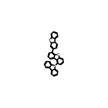 C1=CC2c3ccccc3SC2C=C1c1cccc2c1oc1cccc(-n3c4ccccc4c4ccccc43)c12